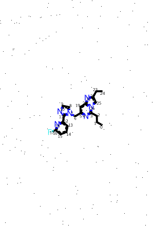 CCCc1nc(Cn2ccnc2-c2cccc(F)n2)cc2nc(CC)cn12